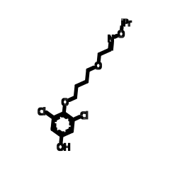 CC(C)ON=CCOCCCCOc1c(Cl)cc(O)cc1Cl